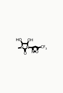 CN1C(=O)N(c2cc(C(F)(F)F)on2)C(O)C1O